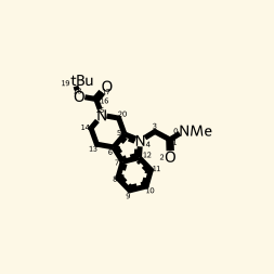 CNC(=O)Cn1c2c(c3ccccc31)CCN(C(=O)OC(C)(C)C)C2